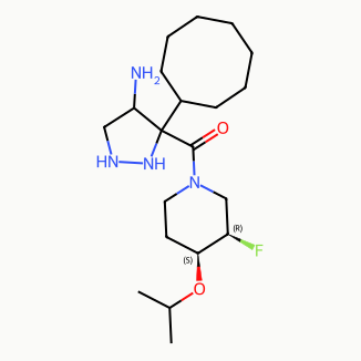 CC(C)O[C@H]1CCN(C(=O)C2(C3CCCCCCC3)NNCC2N)C[C@H]1F